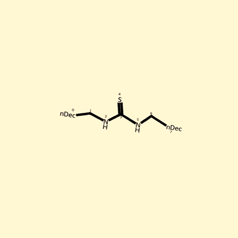 CCCCCCCCCCCNC(=S)NCCCCCCCCCCC